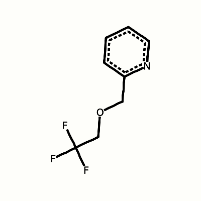 FC(F)(F)COCc1ccccn1